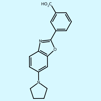 O=C(O)c1cccc(-c2nc3ccc(N4CCCC4)cc3o2)c1